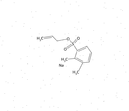 C=CCOS(=O)(=O)c1cccc(C)c1C.[Na]